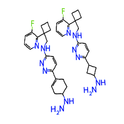 NNC1CC(c2ccc(NCC3(c4ncccc4F)CCC3)nn2)C1.NNC1CC=C(c2ccc(NCC3(c4ncccc4F)CCC3)nn2)CC1